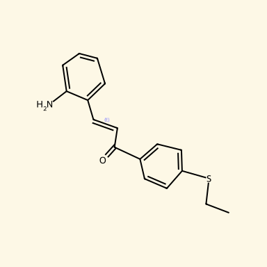 CCSc1ccc(C(=O)/C=C/c2ccccc2N)cc1